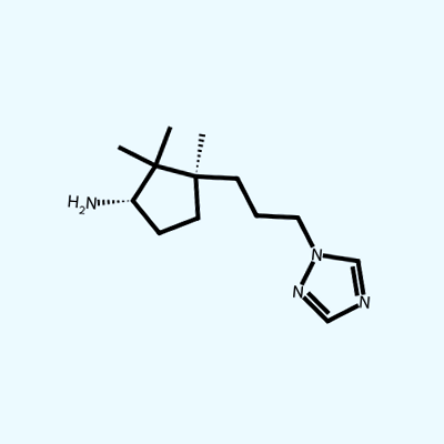 CC1(C)[C@@H](N)CC[C@]1(C)CCCn1cncn1